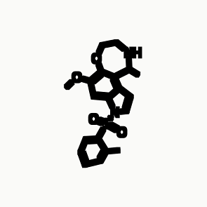 COc1cc2c(ccn2S(=O)(=O)c2ccccc2C)c2c1OCCNC2C